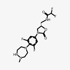 CN1CCN(c2c(F)cc(N3C[C@H](CNC(=O)C(F)F)OC3=O)cc2F)CCN1